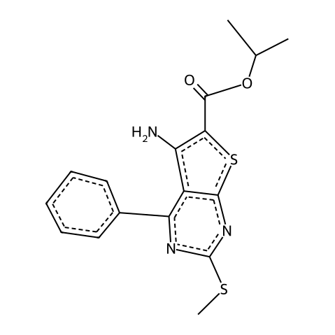 CSc1nc(-c2ccccc2)c2c(N)c(C(=O)OC(C)C)sc2n1